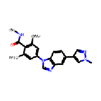 COc1cc(-n2cnc3cc(-c4cnn(C)c4)ccc32)cc(OC)c1C(=O)NC(C)(C)C